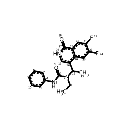 CCN(C(=O)Nc1ccccc1)C(C)c1c[nH]c(=O)c2cc(F)c(F)cc12